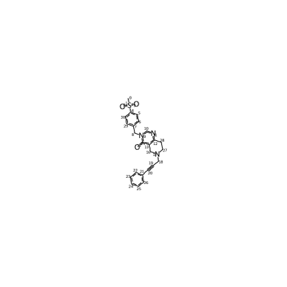 CS(=O)(=O)c1ccc(Cn2cnc3c(c2=O)CN(CC#Cc2ccccc2)CC3)cc1